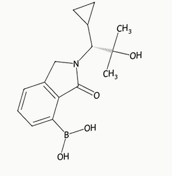 CC(C)(O)[C@@H](C1CC1)N1Cc2cccc(B(O)O)c2C1=O